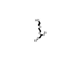 CCOCC(OCC)OCCOC=CO